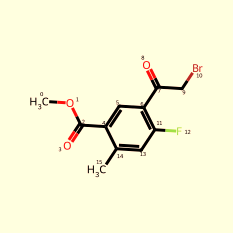 COC(=O)c1cc(C(=O)CBr)c(F)cc1C